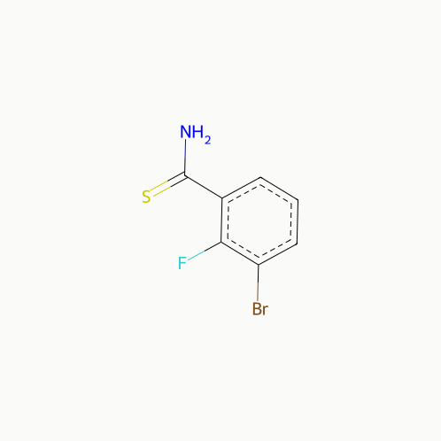 NC(=S)c1cccc(Br)c1F